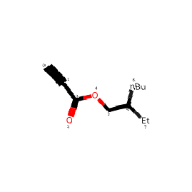 C#CC(=O)OCC(CC)CCCC